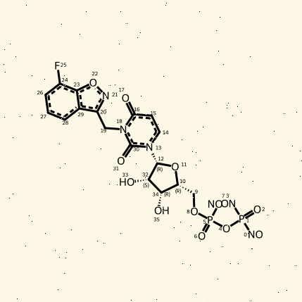 O=NP(=O)(N=O)OP(=O)(N=O)OC[C@H]1O[C@@H](n2ccc(=O)n(Cc3noc4c(F)cccc34)c2=O)[C@@H](O)[C@H]1O